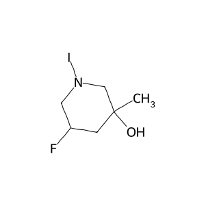 CC1(O)CC(F)CN(I)C1